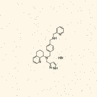 Br.c1ccc(CNCc2ccc(CN(Cc3cc[nH]n3)C3CCCc4cccnc43)cc2)nc1